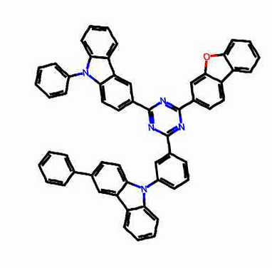 c1ccc(-c2ccc3c(c2)c2ccccc2n3-c2cccc(-c3nc(-c4ccc5c(c4)oc4ccccc45)nc(-c4ccc5c(c4)c4ccccc4n5-c4ccccc4)n3)c2)cc1